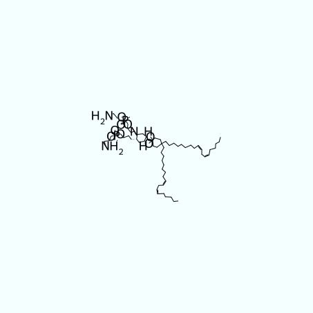 CCCCC/C=C\C/C=C\CCCCCCCCC1(CCCCCCCC/C=C\C/C=C\CCCCC)CCC2(CC1)O[C@H]1C[C@H](CCCOP(C)(=O)OCCN)[C@H](N(C)CCOP(C)(=O)OCCN)C[C@@H]1O2